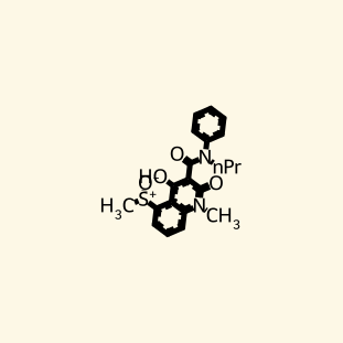 CCCN(C(=O)c1c(O)c2c([S+](C)[O-])cccc2n(C)c1=O)c1ccccc1